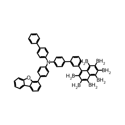 Bc1c(B)c(B)c2c(-c3cccc(-c4ccc(N(c5ccc(-c6ccccc6)cc5)c5ccc(-c6cccc7c6oc6ccccc67)cc5)cc4)c3)c(B)c(B)c(B)c2c1B